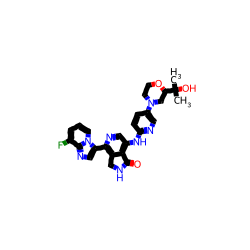 CC(C)(O)C1CN(c2ccc(Nc3cnc(-c4cnc5c(F)cccn45)c4c3C(=O)NC4)nc2)CCO1